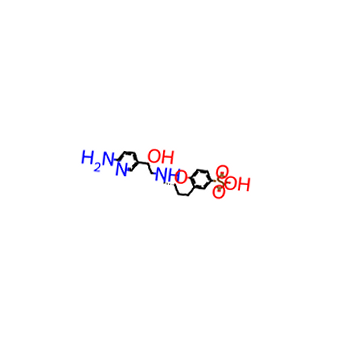 Nc1ccc([C@@H](O)CNC[C@H]2CCc3cc(S(=O)(=O)O)ccc3O2)cn1